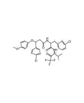 COc1ccc(OC(CC(=O)NC(Cc2cccc(Cl)c2)C(=O)N[C@H](C(=O)C(F)(F)F)C(C)C)c2ccc(Cl)cc2)cc1